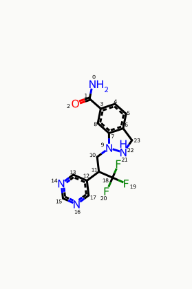 NC(=O)c1ccc2c(c1)N(CC(c1cncnc1)C(F)(F)F)NC2